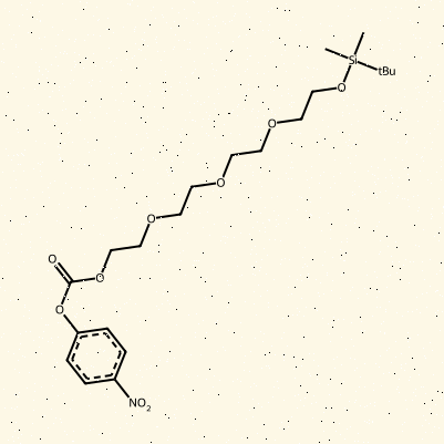 CC(C)(C)[Si](C)(C)OCCOCCOCCOCCOC(=O)Oc1ccc([N+](=O)[O-])cc1